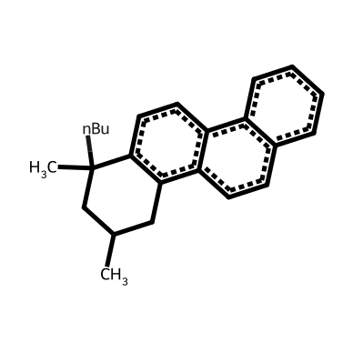 CCCCC1(C)CC(C)Cc2c1ccc1c2ccc2ccccc21